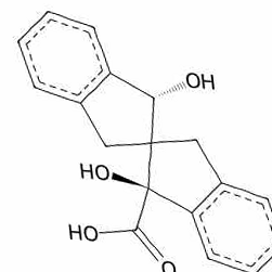 O=C(O)[C@@]1(O)c2ccccc2CC12Cc1ccccc1[C@@H]2O